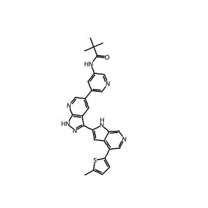 Cc1ccc(-c2cncc3[nH]c(-c4n[nH]c5ncc(-c6cncc(NC(=O)C(C)(C)C)c6)cc45)cc23)s1